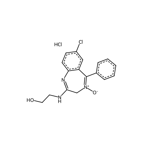 Cl.[O-][N+]1=C(c2ccccc2)c2cc(Cl)ccc2N=C(NCCO)C1